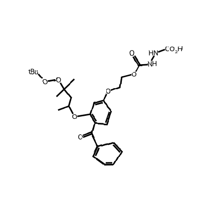 CC(CC(C)(C)OOC(C)(C)C)Oc1cc(OCCOC(=O)NNC(=O)O)ccc1C(=O)c1ccccc1